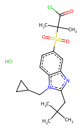 CC(C)(C)Cc1nc2cc(S(=O)(=O)C(C)(C)C(=O)Cl)ccc2n1CC1CC1.Cl